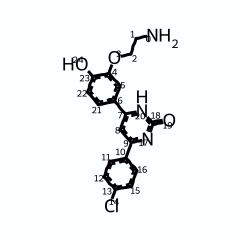 NCCOc1cc(-c2cc(-c3ccc(Cl)cc3)nc(=O)[nH]2)ccc1O